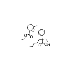 CCCCCC(CC)(C(=O)O)c1ccccc1.CCOC(=O)C1CCCC(C)O1